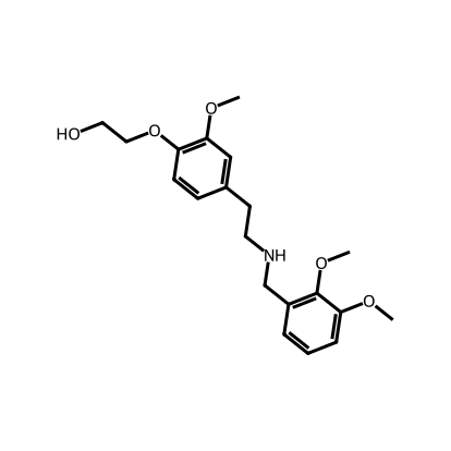 COc1cc(CCNCc2cccc(OC)c2OC)ccc1OCCO